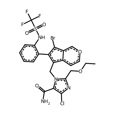 CCOCc1nc(Cl)c(C(N)=O)n1Cc1c2ccocc-2c(Br)c1-c1ccccc1NS(=O)(=O)C(F)(F)F